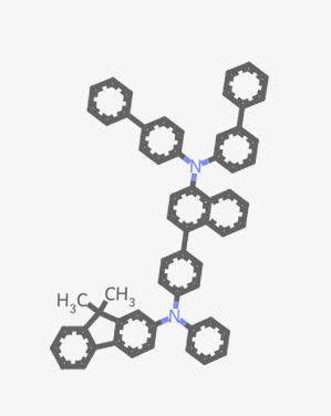 CC1(C)c2ccccc2-c2ccc(N(c3ccccc3)c3ccc(-c4ccc(N(c5ccc(-c6ccccc6)cc5)c5cccc(-c6ccccc6)c5)c5ccccc45)cc3)cc21